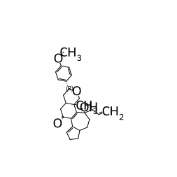 C=CCC1(O)CCC2CCC=C2C2=C1C1(C)CO[C@@H](c3ccc(OC)cc3)CC1CC2=O